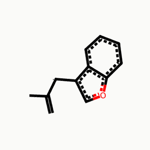 C=C(C)[CH]c1coc2ccccc12